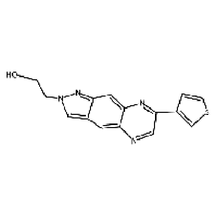 OCCn1cc2cc3ncc(-c4ccsc4)nc3cc2n1